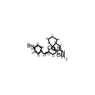 NC(CC1CCCCC1)P(=O)(O)C/C(=C/c1ccc(Br)cc1)C(=O)O